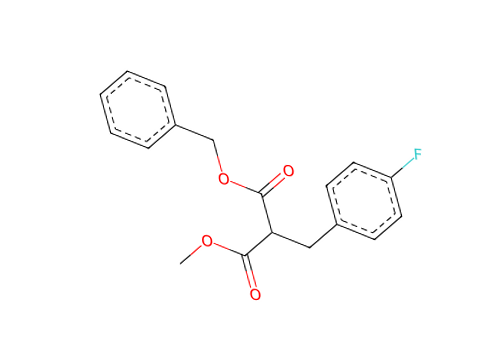 COC(=O)C(Cc1ccc(F)cc1)C(=O)OCc1ccccc1